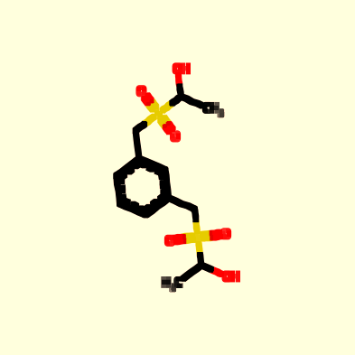 CC(O)S(=O)(=O)Cc1cccc(CS(=O)(=O)C(C)O)c1